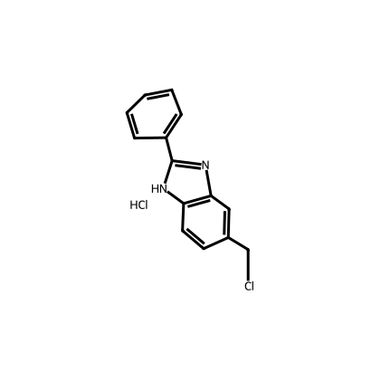 Cl.ClCc1ccc2[nH]c(-c3ccccc3)nc2c1